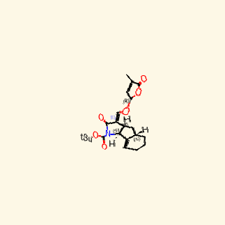 CC1=C[C@H](O/C=C2/C(=O)N(C(=O)OC(C)(C)C)[C@@H]3C4=CCCC[C@H]4C[C@H]23)OC1=O